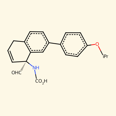 CC(C)Oc1ccc(-c2ccc3c(c2)[C@@](C=O)(NC(=O)O)C=CC3)cc1